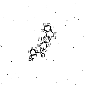 O=C(c1cccc(Br)c1)N1CCC(O)(CN2CCc3ccccc3C2)CC1